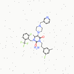 Cc1cc(F)cc([C@H](N)Cn2c(=O)c(N3CCN(Cc4cccnc4)CC3)c(C)n(Cc3c(F)cccc3C(F)(F)F)c2=O)c1